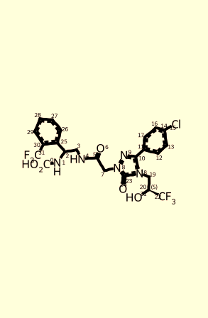 O=C(O)NC(CNC(=O)Cn1nc(-c2ccc(Cl)cc2)n(C[C@H](O)C(F)(F)F)c1=O)c1ccccc1C(F)(F)F